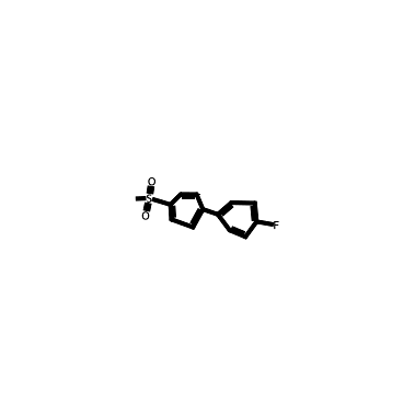 CS(=O)(=O)c1c[c]c(-c2ccc(F)cc2)cc1